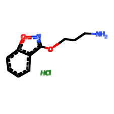 Cl.NCCCOc1noc2ccccc12